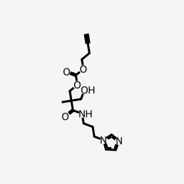 C#CCCOC(=O)OCC(C)(CO)C(=O)NCCCn1ccnc1